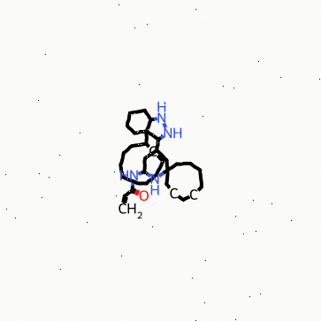 C=CC(=O)NC1CC(C2NNC3CCCCC32C2CCCCCCCCC2)CC2(CCCCCCCC2)N1